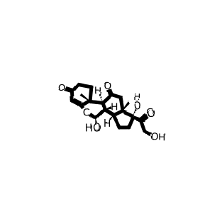 C[C@]12CCC(=O)C=C1C[C@@H](O)[C@@H]1[C@@H]2C(=O)C[C@@]2(C)[C@H]1CC[C@]2(O)C(=O)CO